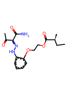 CC[C@H](C)C(=O)OCCOc1ccccc1N/N=C(\C(C)=O)C(N)=O